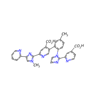 Cc1ccc(-n2ccnc2-c2cc(C(=O)O)ccn2)c(-c2cnc(-c3nc(-c4ccccn4)cn3C)cc2C(=O)O)c1